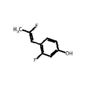 CC(F)=Cc1ccc(O)cc1F